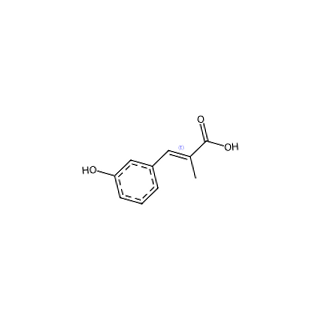 C/C(=C\c1cccc(O)c1)C(=O)O